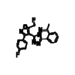 Cc1nn2c(-c3c(-c4ccc(F)cc4)noc3CF)nnc2c2ccccc12